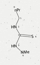 CCCCNC(=S)NNC